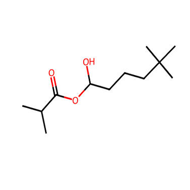 CC(C)C(=O)OC(O)CCCC(C)(C)C